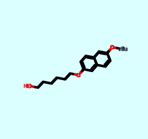 CCCCOc1ccc2cc(OCCCCCCO)ccc2c1